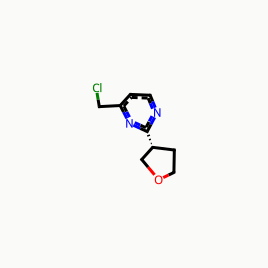 ClCc1ccnc([C@@H]2CCOC2)n1